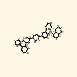 C1=CC2c3cc(-c4ccc(-c5cnc6c7ccccc7c7ccccc7c6n5)cc4)ccc3N(c3cccc4ccccc34)C2C=C1